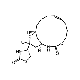 O=C1N[C@@H]2C[C@@H](CCC/C=C\CCCO1)O[C@@](O)([C@@H]1CSC(=O)N1)C2